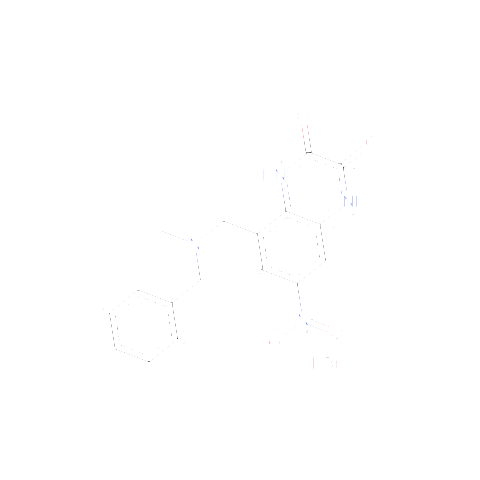 Br.CN(Cc1ccccc1)Cc1cc([N+](=O)[O-])cc2[nH]c(=O)c(=O)[nH]c12